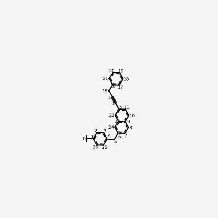 Ic1ccc(Cc2ccc3ccc(C#CCc4ccccc4)cc3c2)cc1